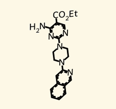 CCOC(=O)c1cnc(N2CCN(c3cc4ccccc4cn3)CC2)nc1N